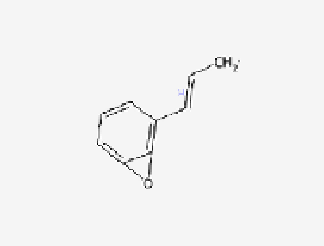 [CH2]/C=C/c1cccc2c1O2